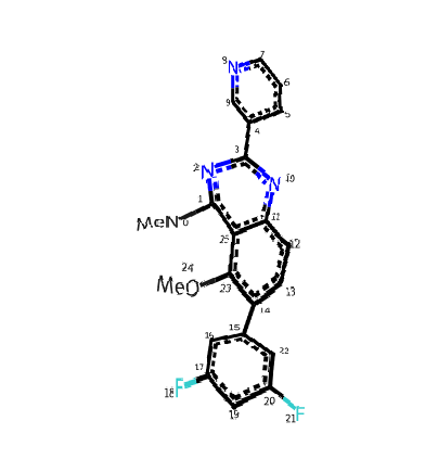 CNc1nc(-c2cccnc2)nc2ccc(-c3cc(F)cc(F)c3)c(OC)c12